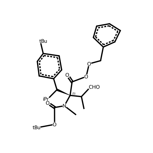 CC(C)C(c1ccc(C(C)(C)C)cc1)[C@@](C(=O)OOCc1ccccc1)(C(C)C=O)N(C)C(=O)OC(C)(C)C